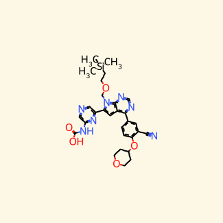 C[Si](C)(C)CCOCn1c(-c2cncc(NC(=O)O)n2)cc2c(-c3ccc(OC4CCOCC4)c(C#N)c3)ncnc21